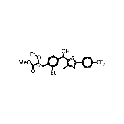 CCO[C@@H](Cc1ccc(C(O)c2sc(-c3ccc(C(F)(F)F)cc3)nc2C)cc1CC)C(=O)OC